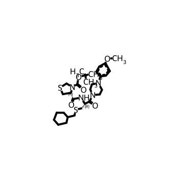 COc1ccc(N2CCN(C(=O)[C@H](CSCC3CCCCC3)NC(=O)[C@@H]3CSCN3C(=O)OC(C)(C)C)CC2)cc1